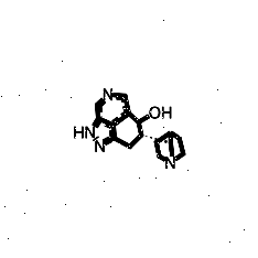 OC1c2cncc3[nH]nc(c23)C[C@H]1C1CN2CCC1CC2